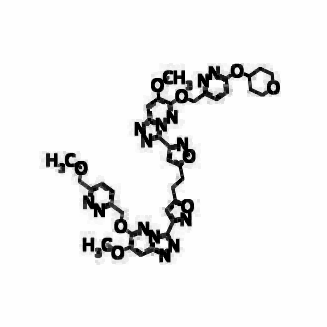 COCc1ccc(COc2nn3c(-c4cc(CCc5cc(-c6nnc7cc(OC)c(OCc8ccc(OC9CCOCC9)nn8)nn67)no5)on4)nnc3cc2OC)nn1